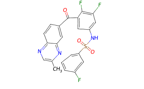 Cc1cnc2ccc(C(=O)c3cc(NS(=O)(=O)c4cccc(F)c4)cc(F)c3F)cc2n1